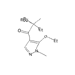 CCCCC(C)(CC)C(=O)c1cnn(C)c1OCC